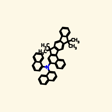 CC1(C)c2ccccc2-c2cc3c(cc21)-c1c(cc(N(c2cccc4ccccc24)c2cccc4ccccc24)c2ccccc12)C3(C)C